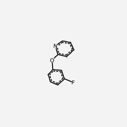 Fc1cccc(Oc2[c]cccn2)c1